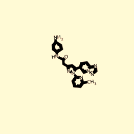 Cc1cccc(-n2nc(CC(=O)Nc3ccc(N)cc3)cc2-c2ccc3ncnn3c2)n1